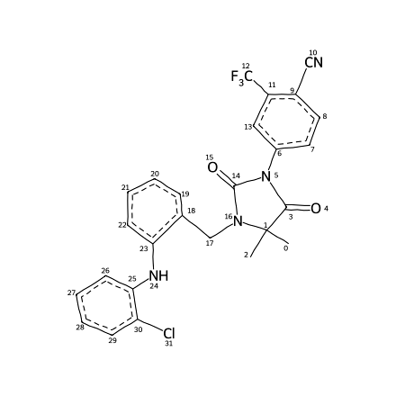 CC1(C)C(=O)N(c2ccc(C#N)c(C(F)(F)F)c2)C(=O)N1Cc1ccccc1Nc1ccccc1Cl